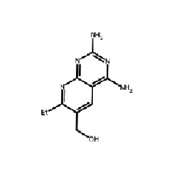 CCc1nc2nc(N)nc(N)c2cc1CO